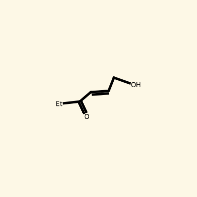 CCC(=O)/C=C/CO